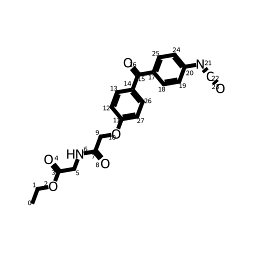 CCOC(=O)CNC(=O)COc1ccc(C(=O)c2ccc(N=C=O)cc2)cc1